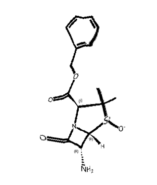 CC1(C)[C@H](C(=O)OCc2ccccc2)N2C(=O)[C@@H](N)[C@H]2[S+]1[O-]